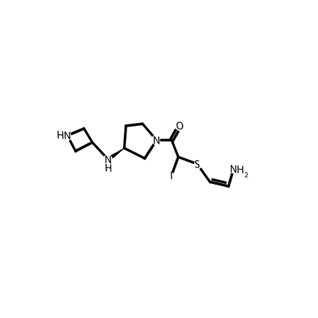 N/C=C\SC(I)C(=O)N1CC[C@H](NC2CNC2)C1